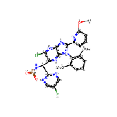 CCOc1cccc(-c2nc3nc(Cl)c(C(N[SH](=O)=O)c4ncc(F)cn4)nc3n2-c2c(OC)cccc2OC)n1